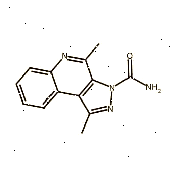 Cc1nn(C(N)=O)c2c(C)nc3ccccc3c12